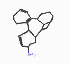 NC1C=CC2C3=C(C=CCC3)C3CCC4CC3C(C4)C2C1